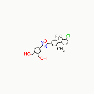 Cc1cc(-c2nc(-c3ccc(CO)c(CO)c3)no2)ccc1-c1cccc(Cl)c1C(F)(F)F